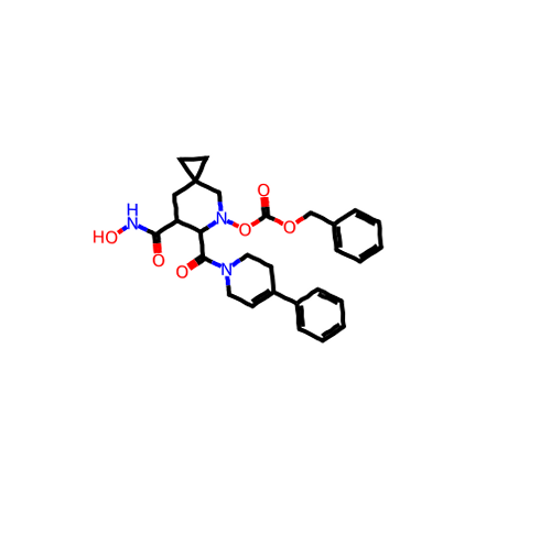 O=C(OCc1ccccc1)ON1CC2(CC2)CC(C(=O)NO)C1C(=O)N1CC=C(c2ccccc2)CC1